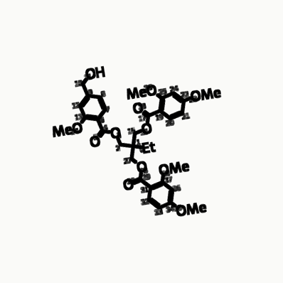 CCC(COC(=O)c1ccc(CO)cc1OC)(COC(=O)c1ccc(OC)cc1OC)COC(=O)c1ccc(OC)cc1OC